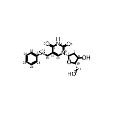 O=c1[nH]c(=O)n([C@@H]2CC(O)[C@H](CO)O2)cc1C[Se]c1ccccc1